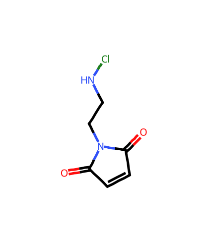 O=C1C=CC(=O)N1CCNCl